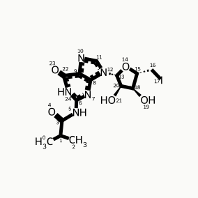 CC(C)C(=O)Nc1nc2c(ncn2[C@@H]2O[C@H](CI)[C@@H](O)[C@H]2O)c(=O)[nH]1